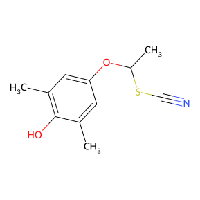 Cc1cc(OC(C)SC#N)cc(C)c1O